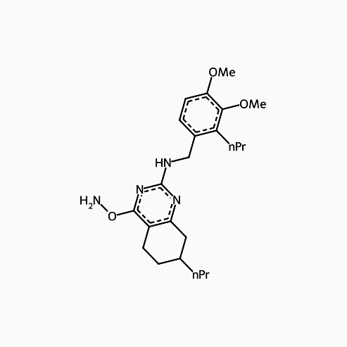 CCCc1c(CNc2nc3c(c(ON)n2)CCC(CCC)C3)ccc(OC)c1OC